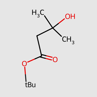 CC(C)(O)CC(=O)OC(C)(C)C